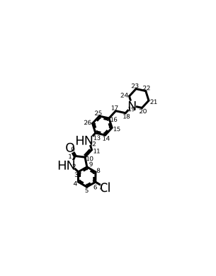 O=C1Nc2ccc(Cl)cc2C1=CNc1ccc(CCN2CCCCC2)cc1